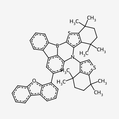 CC1(C)CCC(C)(C)c2c(N3c4cc(-c5cccc6c5oc5ccccc56)cc5c4B(c4ccccc4-5)c4sc5c(c43)C(C)(C)CCC5(C)C)csc21